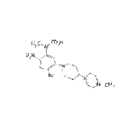 CN1CCN(C2CCN(c3cc(N(C)C(=O)O)c([N+](=O)[O-])cc3Br)CC2)CC1